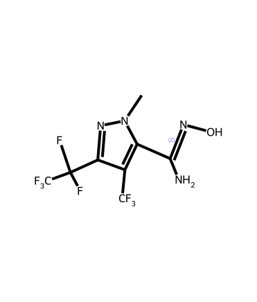 Cn1nc(C(F)(F)C(F)(F)F)c(C(F)(F)F)c1/C(N)=N/O